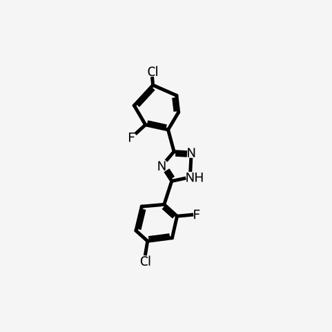 Fc1cc(Cl)ccc1-c1n[nH]c(-c2ccc(Cl)cc2F)n1